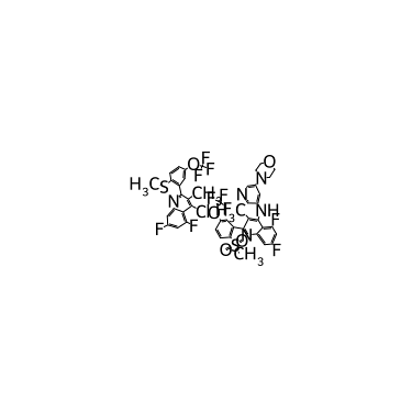 CSc1ccc(OC(F)(F)F)cc1-c1nc2cc(F)cc(F)c2c(Cl)c1C.Cc1c(-c2cc(OC(F)(F)F)ccc2S(C)(=O)=O)nc2cc(F)cc(F)c2c1Nc1cncc(N2CCOCC2)c1